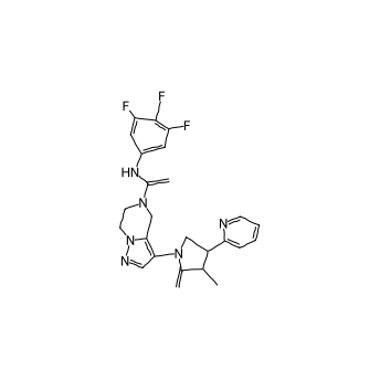 C=C(Nc1cc(F)c(F)c(F)c1)N1CCn2ncc(N3CC(c4ccccn4)C(C)C3=C)c2C1